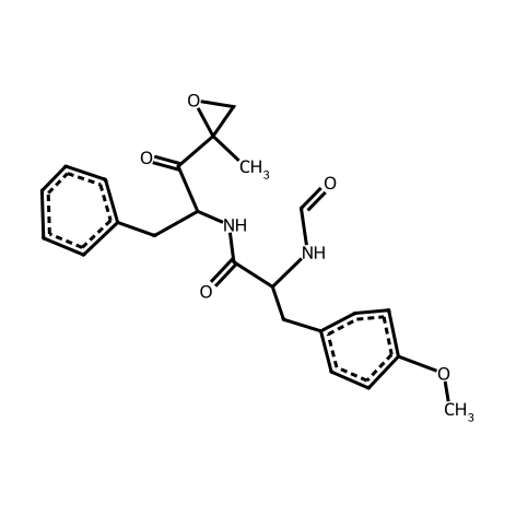 COc1ccc(CC(NC=O)C(=O)NC(Cc2ccccc2)C(=O)C2(C)CO2)cc1